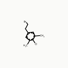 Cc1cc([CH]CBr)cc(C)c1Cl